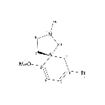 CCC1=CC=C(OC)[C@@]2(CCN(C)C2)C1